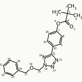 CC(C)(C)C(=O)Oc1ccc(-c2nnn(COCc3ccccc3)n2)cc1